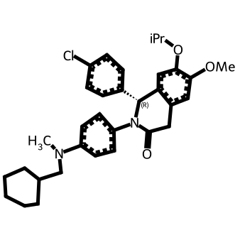 COc1cc2c(cc1OC(C)C)[C@@H](c1ccc(Cl)cc1)N(c1ccc(N(C)CC3CCCCC3)cc1)C(=O)C2